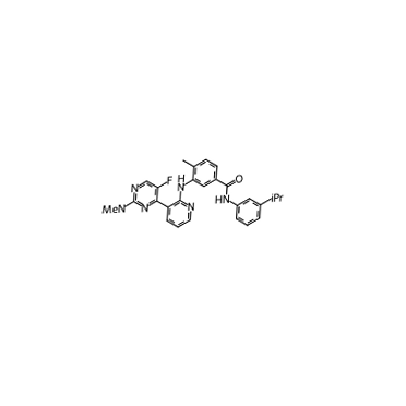 CNc1ncc(F)c(-c2cccnc2Nc2cc(C(=O)Nc3cccc(C(C)C)c3)ccc2C)n1